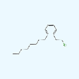 CCCCCCCCc1ccccc1CCCl